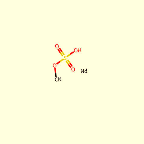 N#COS(=O)(=O)O.[Nd]